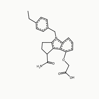 CCc1ccc(Cn2c3c(c4c(OCC(=O)O)cccc42)C(C(N)=O)CC3)cc1